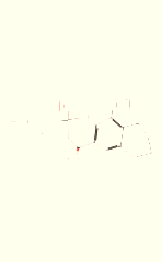 CCCc1c2c(cc3c1OC(O)(C(=O)OCC)CC3=O)CCCC2